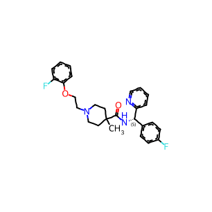 CC1(C(=O)N[C@@H](c2ccc(F)cc2)c2ccccn2)CCN(CCOc2ccccc2F)CC1